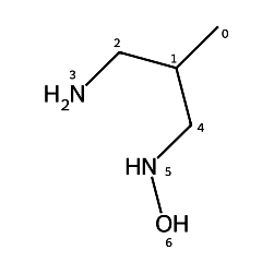 CC(CN)CNO